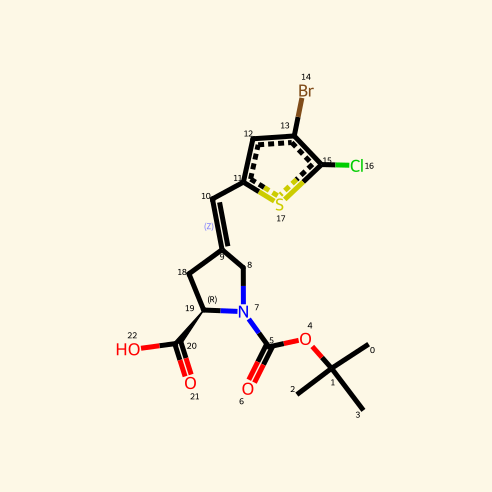 CC(C)(C)OC(=O)N1C/C(=C\c2cc(Br)c(Cl)s2)C[C@@H]1C(=O)O